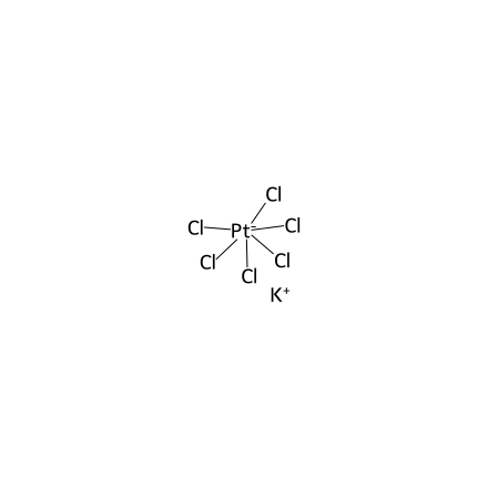 [Cl][Pt-]([Cl])([Cl])([Cl])([Cl])[Cl].[K+]